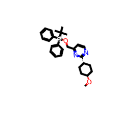 CO[C@H]1CC[C@H](c2nccc(CO[Si](c3ccccc3)(c3ccccc3)C(C)(C)C)n2)CC1